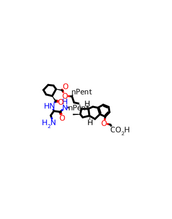 CCCCCNC(=O)C(CN)NC(=O)[C@H]1CCCC[C@H]1C(=O)O[C@@H](CCCCC)CC[C@@H]1[C@H]2Cc3cccc(OCC(=O)O)c3C[C@H]2C[C@H]1C